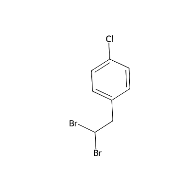 Clc1ccc(CC(Br)Br)cc1